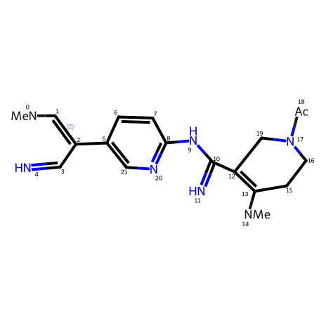 CN/C=C(\C=N)c1ccc(NC(=N)C2=C(NC)CCN(C(C)=O)C2)nc1